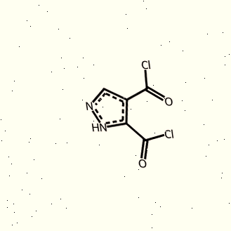 O=C(Cl)c1cn[nH]c1C(=O)Cl